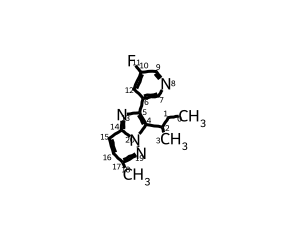 CCC(C)c1c(-c2cncc(F)c2)nc2ccc(C)nn12